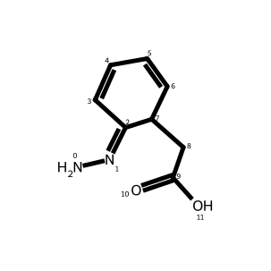 NN=C1C=CC=CC1CC(=O)O